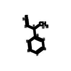 CC(C=S)c1ccccc1